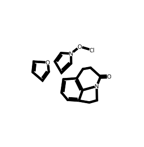 ClOn1cccc1.O=C1CCc2cccc3c2N1CC3.c1ccoc1